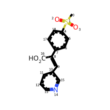 CS(=O)(=O)c1ccc(C(=Cc2cccnc2)C(=O)O)cc1